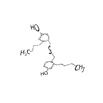 CCCCc1cc(O)ccc1CSCc1ccc(O)cc1CCCC